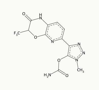 Cn1nnc(-c2ccc3c(n2)OC(C(F)(F)F)C(=O)N3)c1OC(N)=O